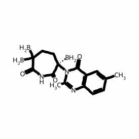 BC1(B)CC[C@@](B)(n2c(C)nc3ccc(C)cc3c2=O)C(=O)NC1=O